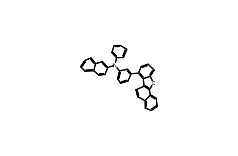 c1ccc(N(c2cccc(-c3cccc4oc5c6ccccc6ccc5c34)c2)c2ccc3ccccc3c2)cc1